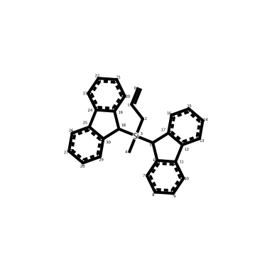 C=CC[Si](C)(C1c2ccccc2-c2ccccc21)C1c2ccccc2-c2ccccc21